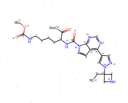 COC(=O)C(CCCCNC(=O)OC(C)(C)C)NC(=O)n1ccc2c(-c3cnn(C4(CC#N)CNC4)c3)ncnc21